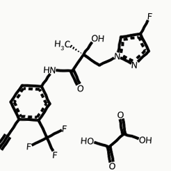 C[C@](O)(Cn1cc(F)cn1)C(=O)Nc1ccc(C#N)c(C(F)(F)F)c1.O=C(O)C(=O)O